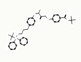 CC(Oc1ccc(CCCO[Si](c2ccccc2)(c2ccccc2)C(C)(C)C)cc1)C(=O)COc1ccc(C(=O)OC(C)(C)C)cc1